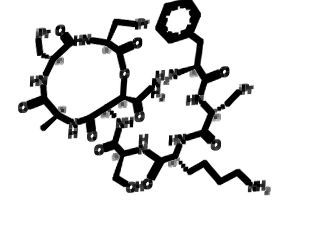 CC(C)C[C@@H]1NC(=O)[C@@H](CC(C)C)NC(=O)[C@H](C)NC(=O)[C@@H](NC(=O)[C@H](CO)NC(=O)[C@@H](CCCCN)NC(=O)[C@@H](CC(C)C)NC(=O)[C@@H](N)Cc2ccccc2)[C@H](C(N)=O)OC1=O